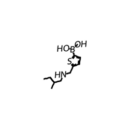 CCC(C)CNCc1ccc(B(O)O)s1